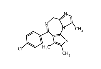 Cc1sc2c(c1C)C(c1ccc(Cl)cc1)=NCc1ncc(C)n1-2